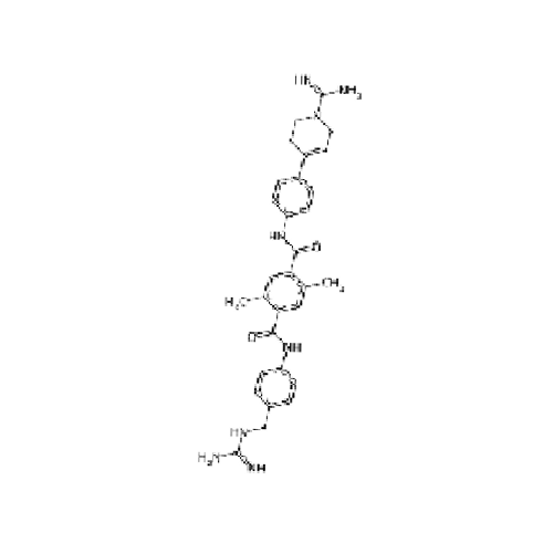 Cc1cc(C(=O)Nc2ccc(C3=CCN(C(=N)N)CC3)cc2)c(C)cc1C(=O)Nc1ccc(CNC(=N)N)cc1